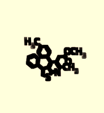 COC(=O)Cc1c(C)nc2scc(-c3ccccc3)c2c1-c1ccc(C)cc1